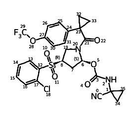 N#CC1(NC(=O)O[C@H]2C[C@@H](S(=O)(=O)c3ccccc3Cl)CN2C(=O)C2(c3ccc(OC(F)(F)F)cc3)CC2)CC1